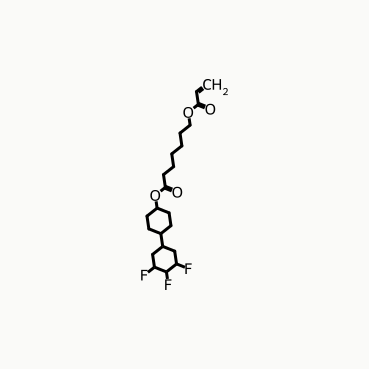 C=CC(=O)OCCCCCCC(=O)OC1CCC(C2CC(F)C(F)C(F)C2)CC1